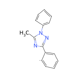 Cc1nc(-c2[c]cccc2)nn1-c1ccccc1